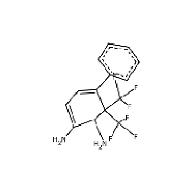 NC1=CC=C(c2ccccc2)C(C(F)(F)F)(C(F)(F)F)C1N